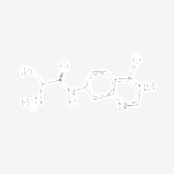 CC(C)C(N)C(=O)Nc1ccc2c(=O)[nH]cnc2c1